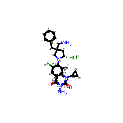 Cl.NCC1(Cc2ccccc2)CCN(c2c(F)cc3c(=O)n(N)c(=O)n(C4CC4)c3c2Cl)C1